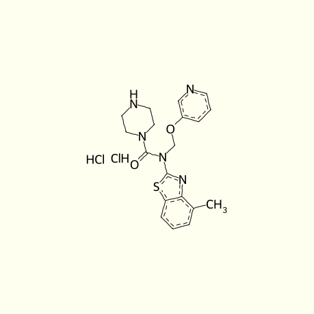 Cc1cccc2sc(N(COc3cccnc3)C(=O)N3CCNCC3)nc12.Cl.Cl